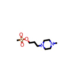 CN1CCN(CCCOS(C)(=O)=O)CC1